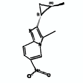 Cc1c([C@@H]2C[C@H]2C)nc2ccc([N+](=O)[O-])cn12